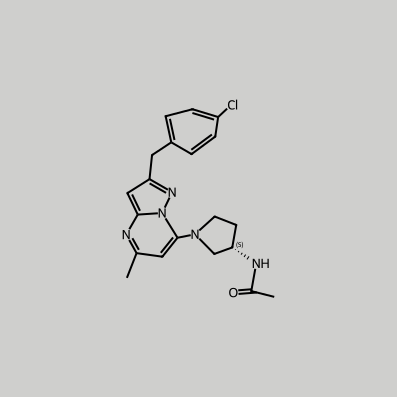 CC(=O)N[C@H]1CCN(c2cc(C)nc3cc(Cc4ccc(Cl)cc4)nn23)C1